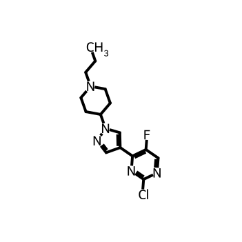 CCCN1CCC(n2cc(-c3nc(Cl)ncc3F)cn2)CC1